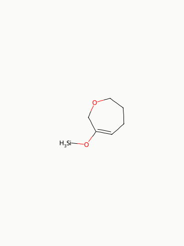 [SiH3]OC1=CCCCOC1